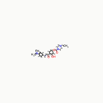 CCN1CCN(C(=O)Oc2ccc(C(=O)/C=C/c3ccc(N(C)C)cc3)c(O)c2)CC1